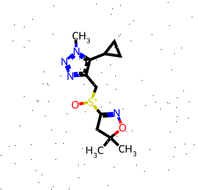 Cn1nnc(C[S+]([O-])C2=NOC(C)(C)C2)c1C1CC1